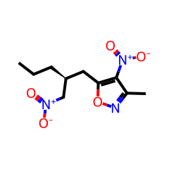 CCC[C@@H](Cc1onc(C)c1[N+](=O)[O-])C[N+](=O)[O-]